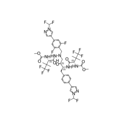 COC(=O)N[C@H](C(=O)N[C@@H](Cc1ccc(-c2cnn(C(F)F)c2)cc1)[C@@H](O)CN(Cc1c(F)cc(-c2cnn(C(F)F)c2)cc1F)NC(=O)[C@@H](NC(=O)OC)C(C)(C)C(F)(F)F)C(C)(C)C(F)(F)F